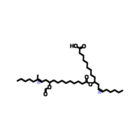 CCCCC/C=C\CC(CCCCCCCCC(=O)O)OC(=O)CCCCCCCCC(C/C=C(\C)CCCCC)OC=O